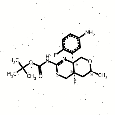 C[C@H]1C[C@@]2(F)CSC(NC(=O)OC(C)(C)C)=N[C@@]2(c2cc(N)ccc2F)CO1